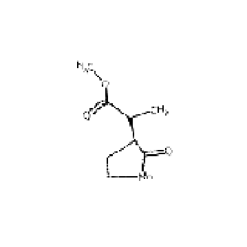 COC(=O)C(C)[C@@H]1CCNC1=O